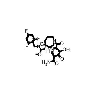 COC1C[C@]2(CCCN3C[C@H]2n2cc(C(N)=O)c(=O)c(O)c2C3=O)ON1Cc1c(F)cc(F)cc1F